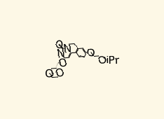 CC(C)OCCOc1ccc2c(c1)CCn1c-2cc(OC[C@H]2COCCO2)nc1=O